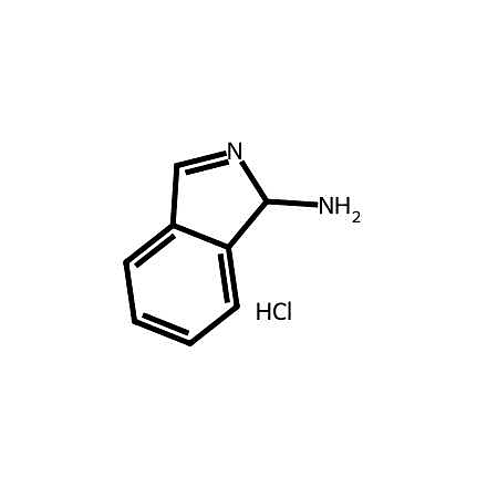 Cl.NC1N=Cc2ccccc21